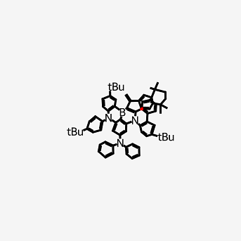 C=C1C2=C(c3cc4c(cc31)C(C)(C)CCC4(C)C)N(c1ccc(C(C)(C)C)cc1-c1ccccc1)c1cc(N(c3ccccc3)c3ccccc3)cc3c1B2c1cc(C(C)(C)C)ccc1N3c1ccc(C(C)(C)C)cc1